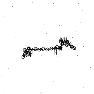 COc1ccc(COc2ccc(Cn3c(N)nc4cc(-c5cnn(CC(=O)NCCOCCOCCOCCOCCOCCNc6cccc7c6C(=O)N(C6CCC(=O)NC6=O)C7=O)c5)cnc43)cc2OC)cc1